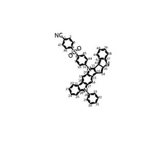 N#Cc1ccc(S(=O)(=O)c2ccc(-n3c4c(c5cc6c(cc53)c3ccccc3n6-c3ccccc3)C=C3N=c5ccccc5=C34)cc2)cc1